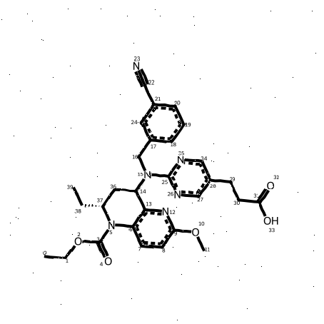 CCOC(=O)N1c2ccc(OC)nc2C(N(Cc2cccc(C#N)c2)c2ncc(CCC(=O)O)cn2)C[C@H]1CC